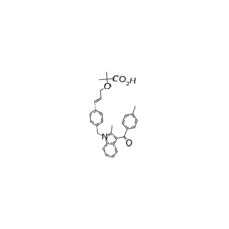 Cc1ccc(C(=O)c2c(C)n(Cc3ccc(C=CCOC(C)(C)C(=O)O)cc3)c3ccccc23)cc1